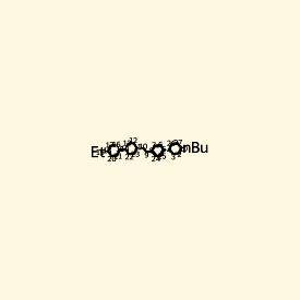 CCCC[C@H]1CC[C@H](c2ccc(CC[C@H]3CC[C@H]([C@H]4CC[C@H](CC)CC4)CC3)cc2)CC1